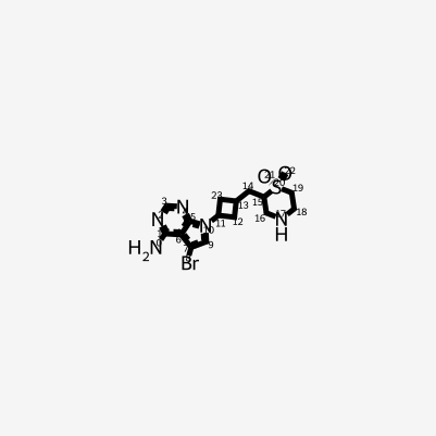 Nc1ncnc2c1c(Br)cn2C1CC(CC2CNCCS2(=O)=O)C1